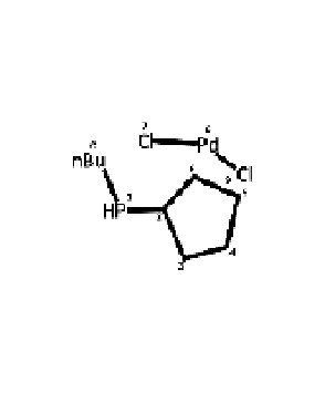 CCCCPC1CCCC1.[Cl][Pd][Cl]